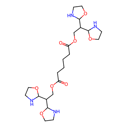 O=C(CCCCC(=O)OCC(C1NCCO1)C1NCCO1)OCC(C1NCCO1)C1NCCO1